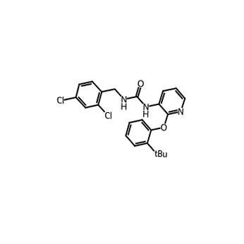 CC(C)(C)c1ccccc1Oc1ncccc1NC(=O)NCc1ccc(Cl)cc1Cl